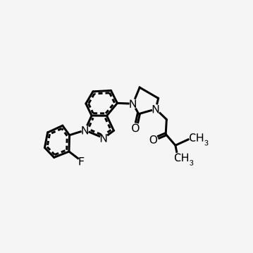 CC(C)C(=O)CN1CCN(c2cccc3c2cnn3-c2ccccc2F)C1=O